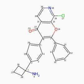 NC1(c2ccc(-c3c(-c4ccccc4)oc4c(Cl)nccc4c3=O)cc2)CCC1